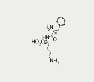 NCCCC[C@H](NC(=O)[C@H](N)Cc1ccccc1)C(=O)O